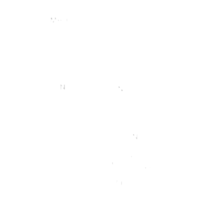 COc1ccc2c(N[C@@H]3CCN(C(=O)OC(C)(C)C)C3)ccnc2c1